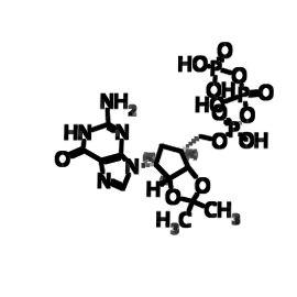 CC1(C)OC2[C@@H](COP(=O)(O)OP(=O)(O)OP(=O)(O)O)C[C@@H](n3cnc4c(=O)[nH]c(N)nc43)[C@H]2O1